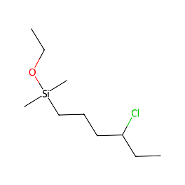 CCO[Si](C)(C)CCCC(Cl)CC